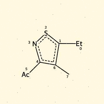 CCc1snc(C(C)=O)c1C